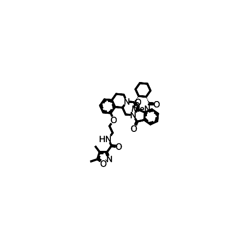 CNC(=O)[C@H]1CCCC[C@H]1C(=O)N1CCc2cccc(OCCNC(=O)c3noc(C)c3C)c2C1CN1C(=O)c2ccccc2C1=O